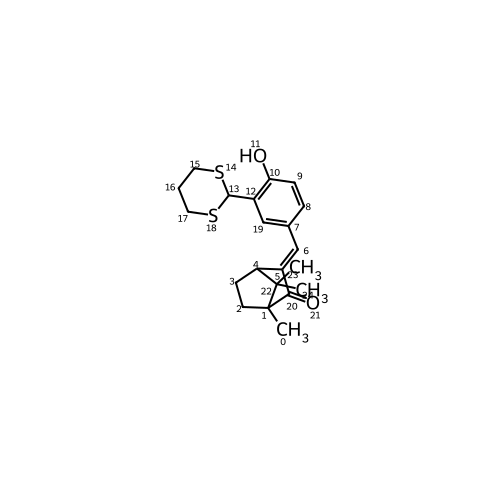 CC12CCC(C(=Cc3ccc(O)c(C4SCCCS4)c3)C1=O)C2(C)C